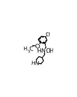 CCOc1ccc(Cl)cc1CNCC1CCNCC1.Cl